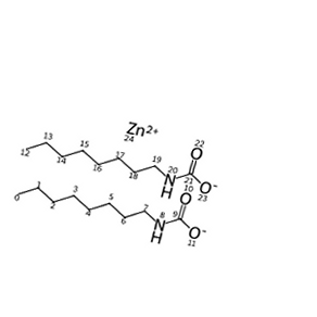 CCCCCCCCNC(=O)[O-].CCCCCCCCNC(=O)[O-].[Zn+2]